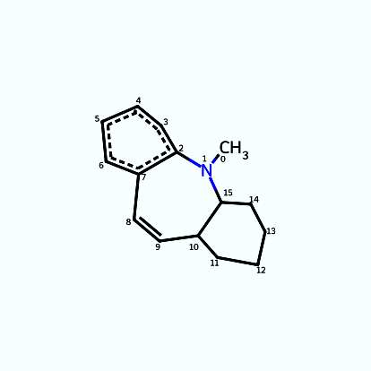 CN1c2ccccc2C=CC2CCCCC21